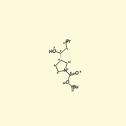 CC(C)CC(O)[C@H]1CCN(C(=O)OC(C)(C)C)C1